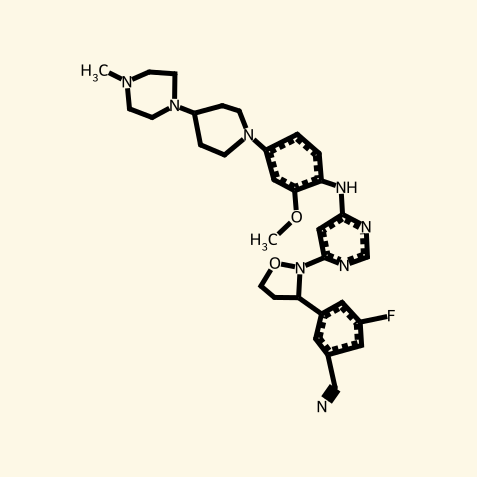 COc1cc(N2CCC(N3CCN(C)CC3)CC2)ccc1Nc1cc(N2OCCC2c2cc(F)cc(C#N)c2)ncn1